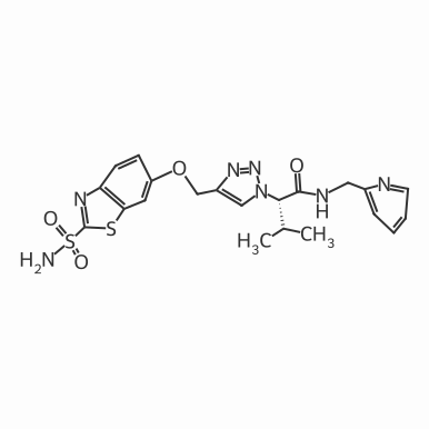 CC(C)[C@@H](C(=O)NCc1ccccn1)n1cc(COc2ccc3nc(S(N)(=O)=O)sc3c2)nn1